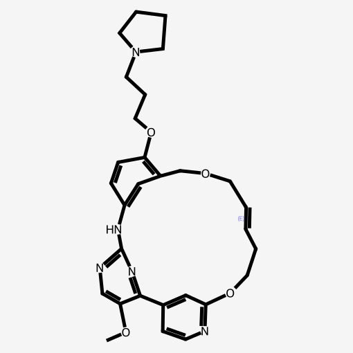 COc1cnc2nc1-c1ccnc(c1)OCC/C=C/COCc1cc(ccc1OCCCN1CCCC1)N2